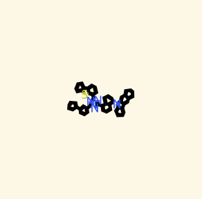 c1ccc(-c2cccc(-c3nc(-c4cccc5c(-n6c7ccccc7c7cc8ccccc8cc76)cccc45)nc(-c4cccc5c4sc4ccccc45)n3)c2)cc1